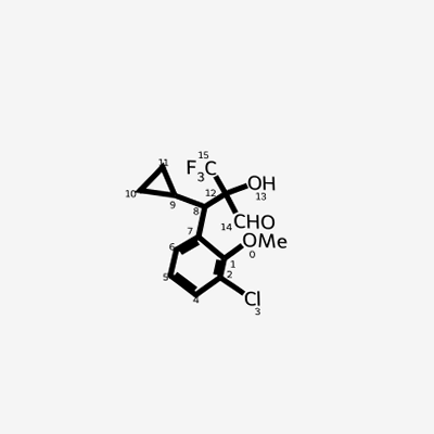 COc1c(Cl)cccc1C(C1CC1)C(O)(C=O)C(F)(F)F